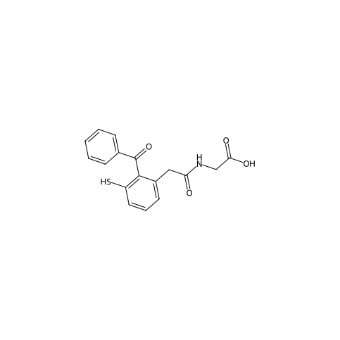 O=C(O)CNC(=O)Cc1cccc(S)c1C(=O)c1ccccc1